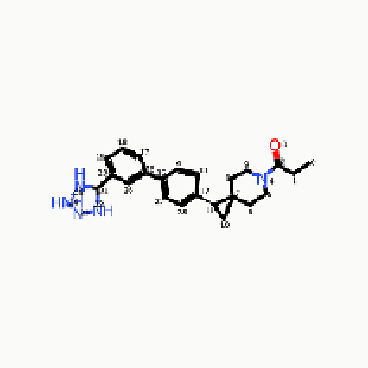 CCC(=O)N1CCC2(CC1)C[C@H]2c1ccc(-c2cccc(C3NNNN3)c2)cc1